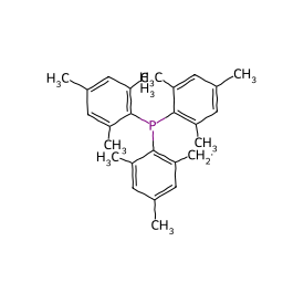 [CH2]c1cc(C)cc(C)c1P(c1c(C)cc(C)cc1C)c1c(C)cc(C)cc1C